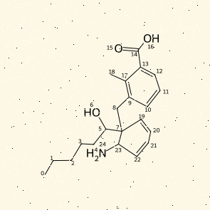 CCCCCC(O)C1(Cc2cccc(C(=O)O)c2C)C=CC=CC1N